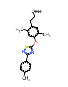 COCCc1cc(C)c(Oc2nc(-c3ccc(C)cc3)ns2)cc1C